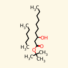 CCCCCC.CCCCCCCC(O)CC(=O)OC(C)(C)C